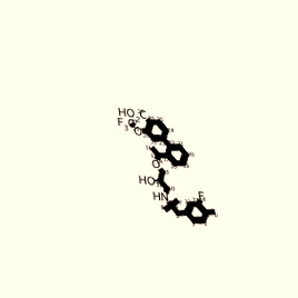 Cc1ccc(CC(C)(C)NC[C@H](O)COC(C)c2ccccc2-c2ccc(C(=O)O)c(OC(F)(F)F)c2)cc1F